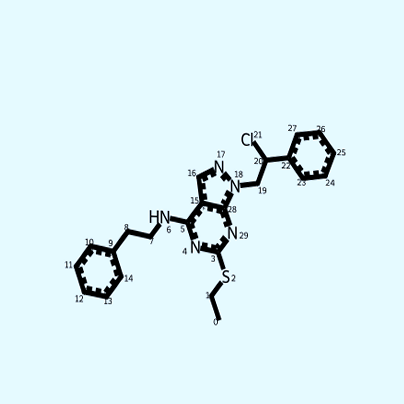 CCSc1nc(NCCc2ccccc2)c2cnn(CC(Cl)c3ccccc3)c2n1